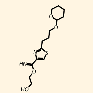 N=C(OCCO)c1csc(CCCOC2CCCCO2)n1